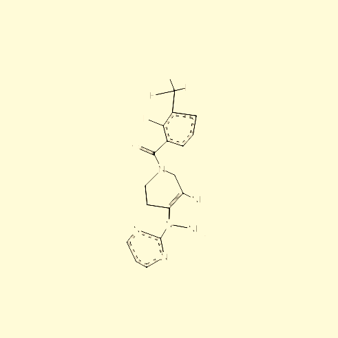 NC1=C(N(N)c2ncccn2)CCN(C(=O)c2cccc(C(F)(F)F)c2F)C1